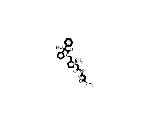 Cc1cc(NC(=O)C[N+]2(C)CCCC2COC(=O)[C@](O)(c2ccccc2)C2CCCC2)no1